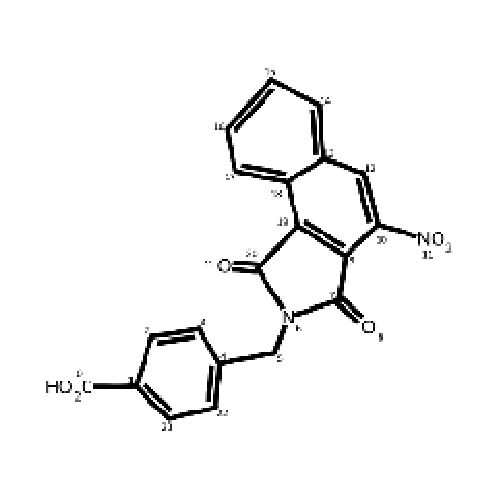 O=C(O)c1ccc(CN2C(=O)c3c([N+](=O)[O-])cc4ccccc4c3C2=O)cc1